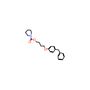 O=C(OCCCCOc1ccc(Cc2ccccc2)cc1)N1CCCCC1